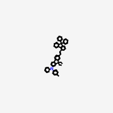 CCC1(CC)c2cc(/C=C/c3cccc4c3-c3ccccc3C4(c3ccccc3)c3ccccc3)ccc2-c2ccc(N(c3ccccc3)c3ccc(C)cc3)cc21